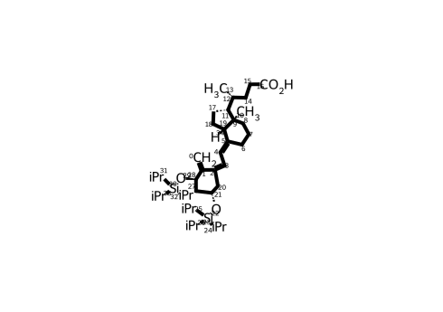 C=C1/C(=C\C=C2CCC[C@]3(C)[C@@H]([C@H](C)CCC(=O)O)CC[C@@H]23)C[C@H](O[Si](C(C)C)(C(C)C)C(C)C)C[C@H]1O[Si](C(C)C)(C(C)C)C(C)C